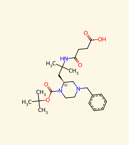 CC(C)(C[C@H]1CN(Cc2ccccc2)CCN1C(=O)OC(C)(C)C)NC(=O)CCC(=O)O